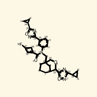 O=C(N(CC12CCCC(C1)C(c1nc(C3CC3)no1)OC2)c1cccc(-c2noc(C3CC3)n2)c1)C12CC(F)(C1)C2